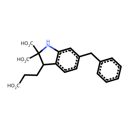 O=C(O)CCC1c2ccc(Cc3ccccc3)cc2NC1(C(=O)O)C(=O)O